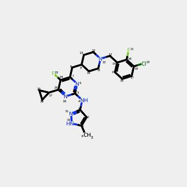 Cc1cc(Nc2nc(CC3CCN(Cc4cccc(Cl)c4F)CC3)c(F)c(C3CC3)n2)n[nH]1